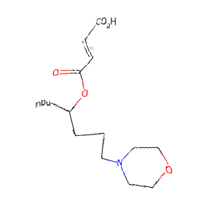 CCCCC(CCCN1CCOCC1)OC(=O)/C=C/C(=O)O